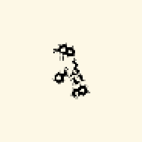 O=C(OC[N+]1(CCCCOc2ccc3ccc(=O)[nH]c3c2)CCN(c2cccc3sccc23)CC1)C1CCCCC1